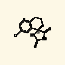 O=C1NC(=O)[C@]2(CCCc3ncc(Cl)cc32)N1